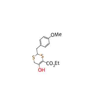 CCOC(=O)C1=C(O)CSC(Cc2ccc(OC)cc2)S1